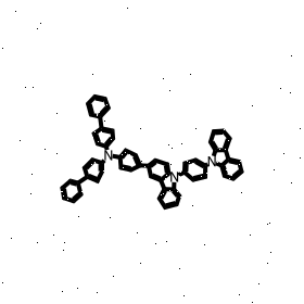 c1ccc(-c2ccc(N(c3ccc(-c4ccccc4)cc3)c3ccc(-c4ccc5c(c4)c4ccccc4n5-c4ccc(-n5c6ccccc6c6ccccc65)cc4)cc3)cc2)cc1